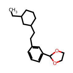 CCC1CCCC(CCc2cccc(C3OCCO3)c2)C1